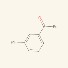 CCC(=O)c1cccc(C(C)C)c1